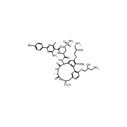 COc1c(OCC(O)CN)cc2cc1-c1cc(ccc1OCC(O)CN)C[C@@H](C(=O)O)NC(=O)[C@H](C)NC(=O)[C@H]2N(C)C(=O)C(CNS(N)(=O)=O)NC(=O)c1c(C)nc(-c2ccc(C(C)(C)C)cc2)nc1N